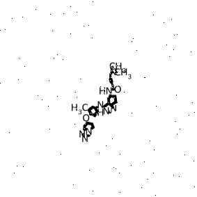 Cc1cc(Nc2ncnc3ccc(NC(=O)C#CCN(C)C)cc23)ccc1Oc1ccn2cnnc2c1